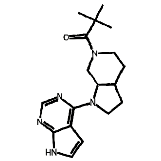 CC(C)(C)C(=O)N1CCC2CCN(c3ncnc4[nH]ccc34)C2C1